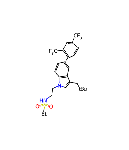 CCS(=O)(=O)NCCn1cc(CC(C)(C)C)c2cc(-c3ccc(C(F)(F)F)cc3C(F)(F)F)ccc21